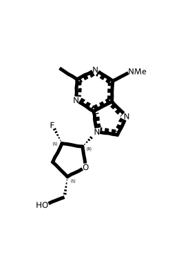 CNc1nc(C)nc2c1ncn2[C@@H]1O[C@H](CO)C[C@@H]1F